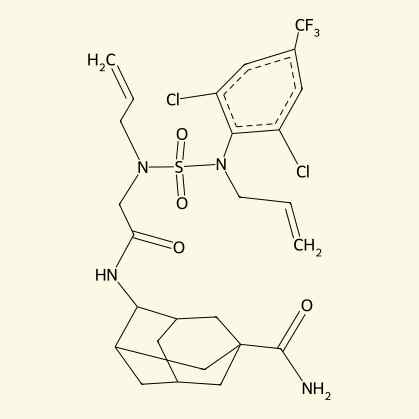 C=CCN(CC(=O)NC1C2CC3CC1CC(C(N)=O)(C3)C2)S(=O)(=O)N(CC=C)c1c(Cl)cc(C(F)(F)F)cc1Cl